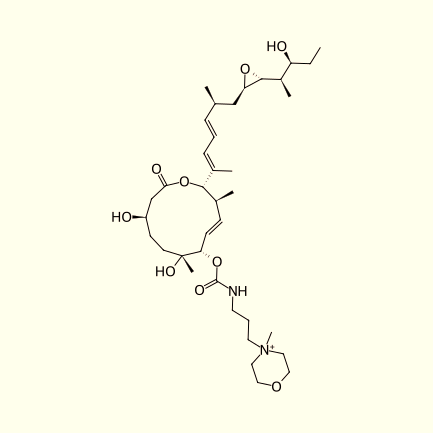 CC[C@H](O)[C@@H](C)[C@H]1O[C@@H]1C[C@H](C)/C=C/C=C(\C)[C@H]1OC(=O)C[C@H](O)CC[C@@](C)(O)[C@@H](OC(=O)NCCC[N+]2(C)CCOCC2)/C=C/[C@@H]1C